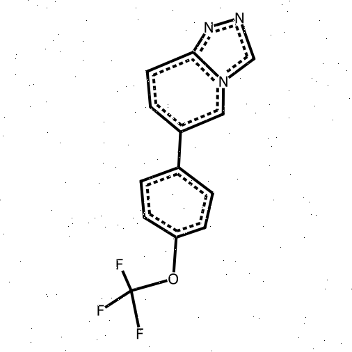 FC(F)(F)Oc1ccc(-c2ccc3nncn3c2)cc1